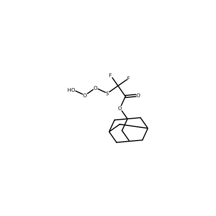 O=C(OC12CC3CC(CC(C3)C1)C2)C(F)(F)SOOO